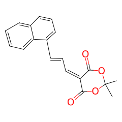 CC1(C)OC(=O)C(=CC=Cc2cccc3ccccc23)C(=O)O1